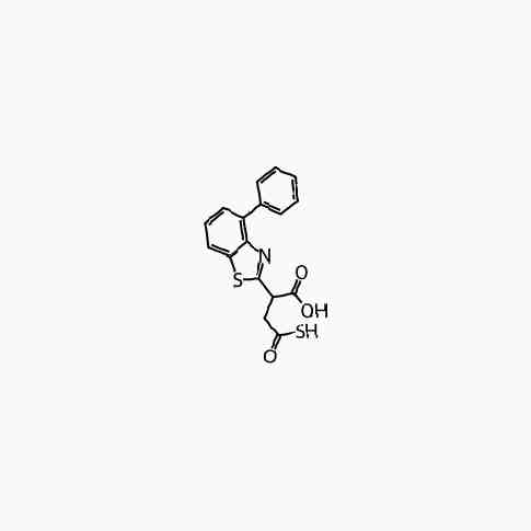 O=C(S)CC(C(=O)O)c1nc2c(-c3ccccc3)cccc2s1